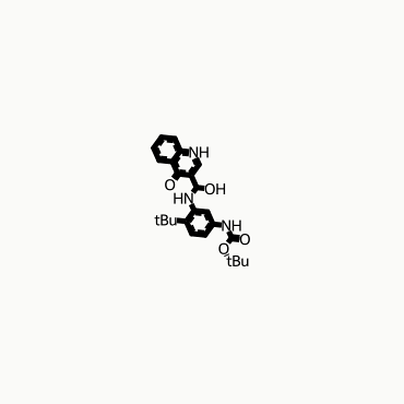 CC(C)(C)OC(=O)Nc1ccc(C(C)(C)C)c(NC(O)c2c[nH]c3ccccc3c2=O)c1